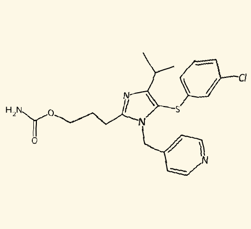 CC(C)c1nc(CCCOC(N)=O)n(Cc2ccncc2)c1Sc1cccc(Cl)c1